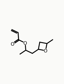 C=CC(=O)OC(C)CC1CC(C)O1